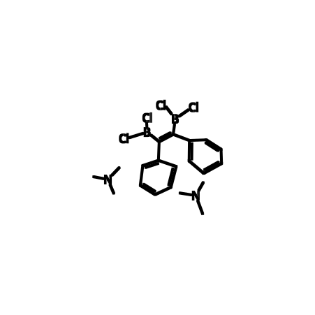 CN(C)C.CN(C)C.ClB(Cl)C(=C(B(Cl)Cl)c1ccccc1)c1ccccc1